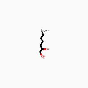 CCCCCCCCCC(=O)CO